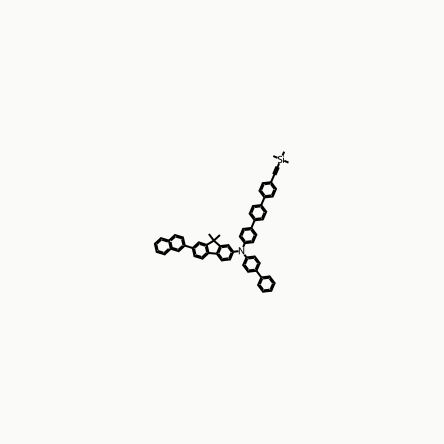 CC1(C)c2cc(-c3ccc4ccccc4c3)ccc2-c2ccc(N(c3ccc(-c4ccccc4)cc3)c3ccc(-c4ccc(-c5ccc(C#C[Si](C)(C)C)cc5)cc4)cc3)cc21